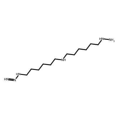 N=NNCCCCCCNCCCCCCNN